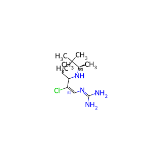 CCC(N[C@H](C)C(C)(C)C)/C(Cl)=C\N=C(N)N